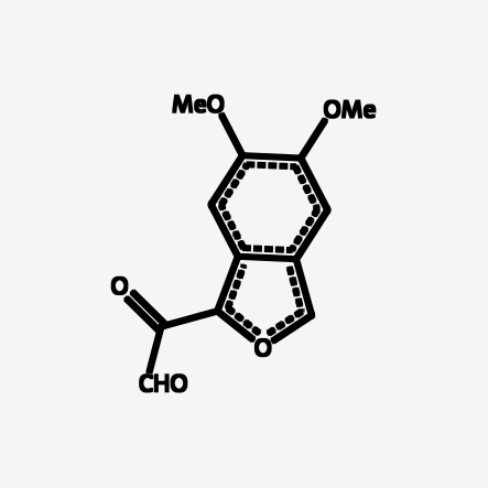 COc1cc2coc(C(=O)C=O)c2cc1OC